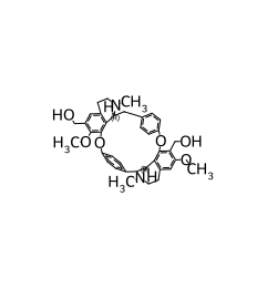 COc1cc2c3c(c1CO)Oc1ccc(cc1)C[C@@H]1c4c(cc(CO)c(OC)c4Oc4ccc(cc4)C[C@H]3N(C)CC2)CCN1C